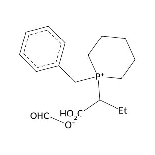 CCC(C(=O)O)[P+]1(Cc2ccccc2)CCCCC1.O=C[O-]